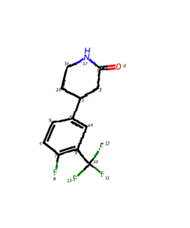 O=C1CC(c2ccc(F)c(C(F)(F)F)c2)CCN1